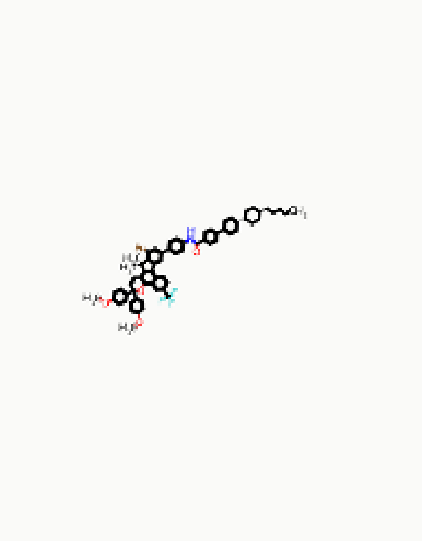 CCCCC[C@H]1CC[C@H](c2ccc(-c3ccc(C(=O)Nc4ccc(-c5cc(Br)c6c(c5)-c5c(c7c(c8cc(C(F)(F)F)ccc58)OC(c5ccc(OC)cc5)(c5ccc(OC)cc5)C=C7)C6(C)C)cc4)cc3)cc2)CC1